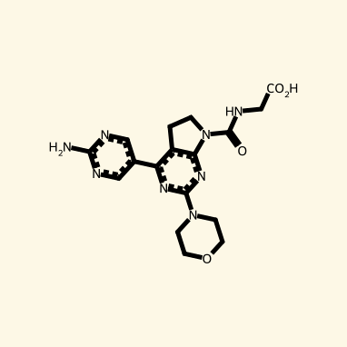 Nc1ncc(-c2nc(N3CCOCC3)nc3c2CCN3C(=O)NCC(=O)O)cn1